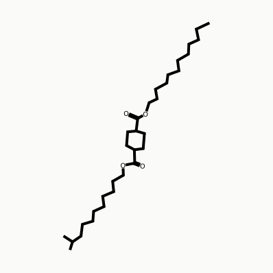 CCCCCCCCCCCCOC(=O)C1CCC(C(=O)OCCCCCCCCCC(C)C)CC1